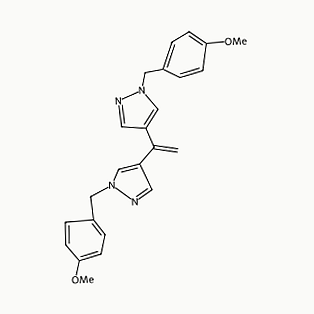 C=C(c1cnn(Cc2ccc(OC)cc2)c1)c1cnn(Cc2ccc(OC)cc2)c1